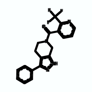 O=C(c1cccnc1C(F)(F)F)N1CCc2c(-c3ccccc3)n[nH]c2C1